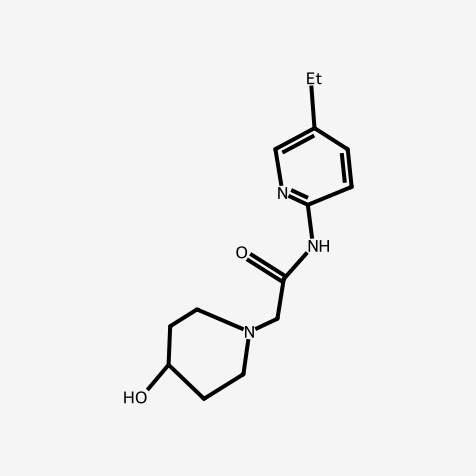 CCc1ccc(NC(=O)CN2CCC(O)CC2)nc1